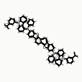 CC(C)c1cccc(-n2c3ccccc3c3c(N(c4ccccc4)c4ccc5c(c4)oc4c5ccc5c4ccc4c6ccc(N(c7ccccc7)c7cccc8c7c7ccccc7n8-c7cccc(C(C)C)c7)cc6oc45)cccc32)c1